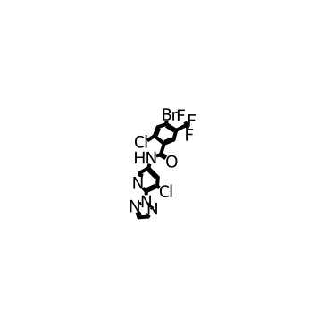 O=C(Nc1cnc(-n2nccn2)c(Cl)c1)c1cc(C(F)(F)F)c(Br)cc1Cl